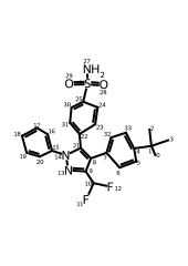 CC(C)(C)c1ccc(-c2c(C(F)F)nn(-c3ccccc3)c2-c2ccc(S(N)(=O)=O)cc2)cc1